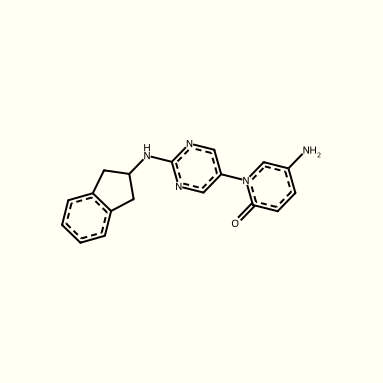 Nc1ccc(=O)n(-c2cnc(NC3Cc4ccccc4C3)nc2)c1